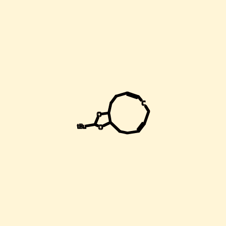 CC(C)(C)C1OC2CC/C=C\CC/C=C\CCC2O1